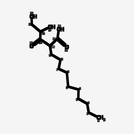 CCCCCCCCCCC(C(=O)O)C(=O)C(O)CO